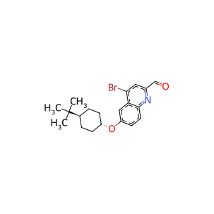 CC(C)(C)[C@H]1CC[C@H](Oc2ccc3nc(C=O)cc(Br)c3c2)CC1